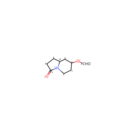 O=COC1CCN2C(=O)CCC2C1